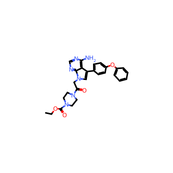 CCOC(=O)N1CCN(C(=O)Cn2cc(-c3ccc(Oc4ccccc4)cc3)c3c(N)ncnc32)CC1